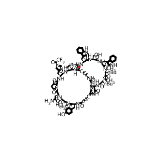 CCCC[C@H]1C(=O)N(C)[C@@H](CCCC)C(=O)N[C@@H]2C(=O)N[C@H]3CSCC(=O)N[C@@H](Cc4ccc(O)cc4)C(=O)N(C)[C@@H](C)C(=O)N[C@@H](CC(N)=O)C(=O)N4CCC[C@H]4C(=O)N[C@@H](Cc4cn(C(=O)C(F)(F)F)cn4)C(=O)N[C@@H](CC(C)C)C(=O)N[C@@H](CCCNC(=O)CN2C3=O)C(=O)N[C@@H](Cc2c[nH]c3ccccc23)C(=O)N[C@@H](CO)C(=O)N[C@@H](Cc2c[nH]c3ccccc23)C(=O)N1C